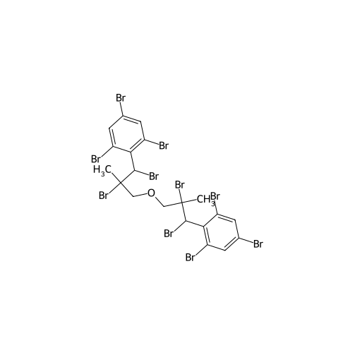 CC(Br)(COCC(C)(Br)C(Br)c1c(Br)cc(Br)cc1Br)C(Br)c1c(Br)cc(Br)cc1Br